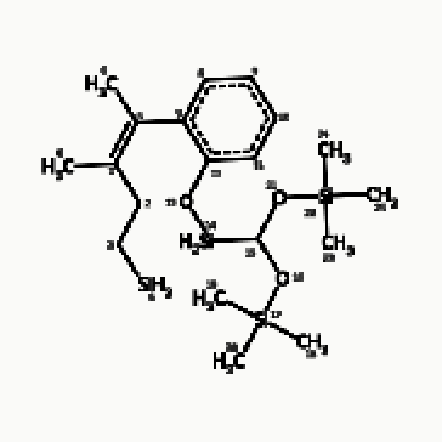 CC(CC[SiH3])=C(C)c1ccccc1O[SiH2]C(O[Si](C)(C)C)O[Si](C)(C)C